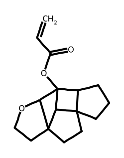 C=CC(=O)OC12C3CCCC34CCC3(CCOC31)C42